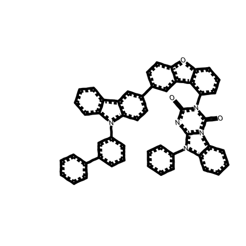 O=c1nc2n(-c3ccccc3)c3ccccc3n2c(=O)n1-c1cccc2oc3ccc(-c4ccc5c(c4)c4ccccc4n5-c4cccc(-c5ccccc5)c4)cc3c12